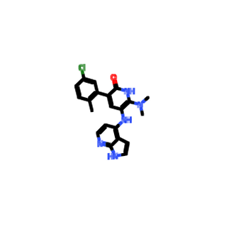 Cc1ccc(Cl)cc1-c1cc(Nc2ccnc3[nH]ccc23)c(N(C)C)[nH]c1=O